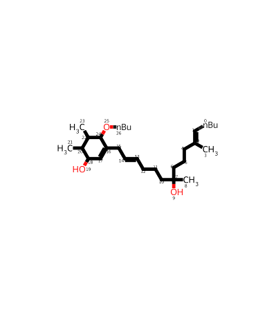 CCCC/C=C(\C)CCCC(C)(O)CCC/C=C/CC1=CC(O)C(C)C(C)C1OCCCC